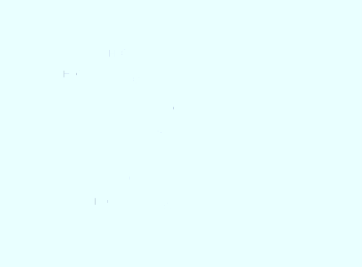 COC(=O)C(CCc1ccccc1)C(=O)c1cccc(C)c1OC